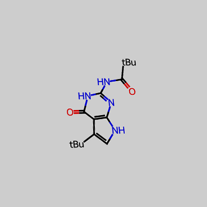 CC(C)(C)C(=O)Nc1nc2[nH]cc(C(C)(C)C)c2c(=O)[nH]1